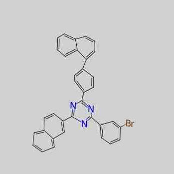 Brc1cccc(-c2nc(-c3ccc(-c4cccc5ccccc45)cc3)nc(-c3ccc4ccccc4c3)n2)c1